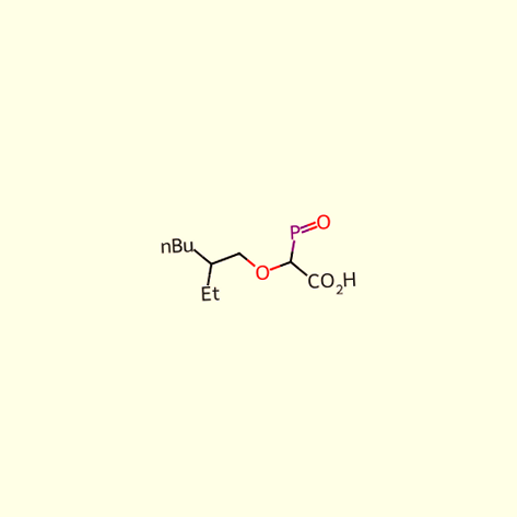 CCCCC(CC)COC(P=O)C(=O)O